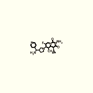 Cc1c(N2CCC(C(N)c3ccncc3)C2)c(F)cn2c(=O)n(N)c(=O)c(C3CC3)c12